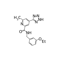 CCOc1cccc(CNC(=O)c2cc(-c3nn[nH]n3)cc(C)n2)c1